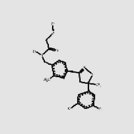 CCSCC(=O)N(CC)Cc1ccc(C2=NSC(c3cc(Cl)cc(Cl)c3)(C(F)(F)F)C2)cc1C